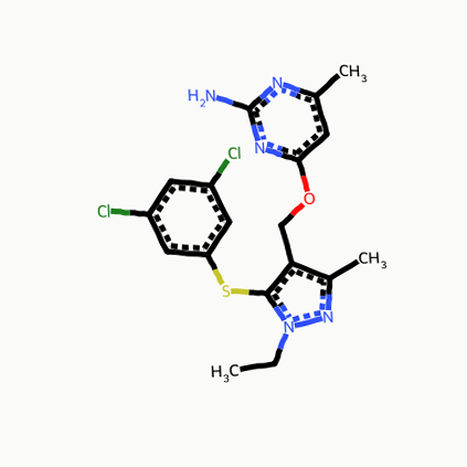 CCn1nc(C)c(COc2cc(C)nc(N)n2)c1Sc1cc(Cl)cc(Cl)c1